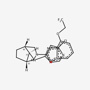 FC(F)(F)COc1cccn2nc(N[C@@H]3[C@@H]4CC[C@H]3CN(c3ccnc(Cl)c3)C4)nc12